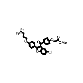 CCN(CC)CCCOc1ccc(-c2oc3ccc(Cl)cc3c2C(=O)c2ccc(OCC(=O)OC)cc2)cc1